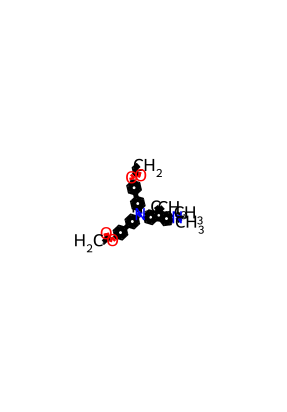 C=CC(=O)Oc1ccc(-c2ccc(N(c3ccc(-c4ccc(OC(=O)C=C)cc4)cc3)c3ccc4c(c3)C(C)(C)c3cc(N(C)C)ccc3-4)cc2)cc1